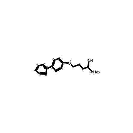 CCCCCCC(C#N)CCCOc1ccc(-c2ccccc2)cc1